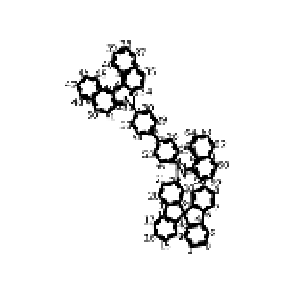 c1ccc2c(c1)-c1ccccc1C21c2ccccc2-c2ccc(N(c3ccc(-c4ccc(-n5c6ccc7ccccc7c6c6c7ccccc7ccc65)cc4)cc3)c3cccc4ccccc34)cc21